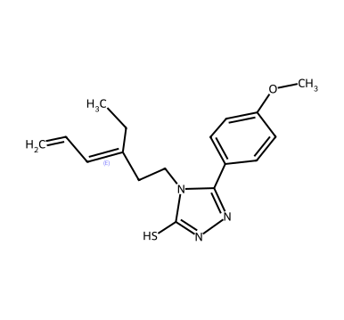 C=C/C=C(\CC)CCn1c(S)nnc1-c1ccc(OC)cc1